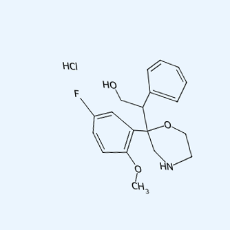 COc1ccc(F)cc1C1(C(CO)c2ccccc2)CNCCO1.Cl